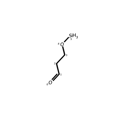 O=CCCO[SiH3]